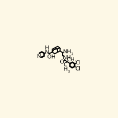 CC(C)(C(=O)NCC(N)C1C2CC3CC1CC(C(O)Nc1ccncc1)(C3)C2)c1ccc(Cl)c(Cl)c1